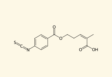 CC(=CCCOC(=O)c1ccc(N=C=S)cc1)C(=O)O